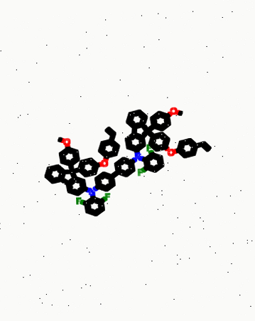 C=Cc1ccc(Oc2ccc(C3(c4ccc(OC)cc4)c4ccccc4-c4ccc(N(c5ccc(-c6ccc(N(c7ccc8c(c7)C(c7ccc(OC)cc7)(c7ccc(Oc9ccc(C=C)cc9)cc7)c7ccccc7-8)c7c(F)cccc7F)cc6)cc5)c5c(F)cccc5F)cc43)cc2)cc1